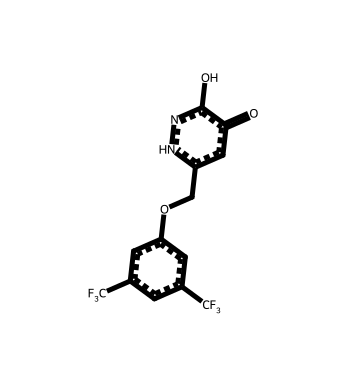 O=c1cc(COc2cc(C(F)(F)F)cc(C(F)(F)F)c2)[nH]nc1O